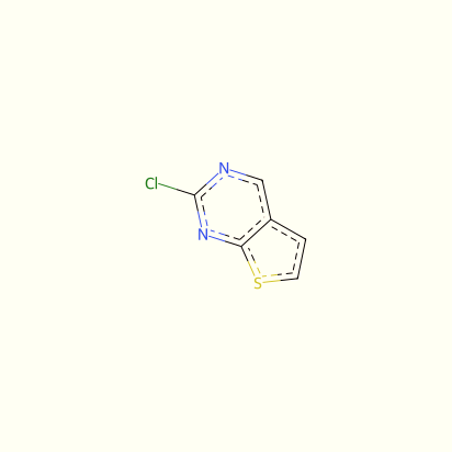 Clc1ncc2ccsc2n1